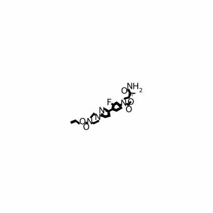 C=CCOC(=O)N1CCN(c2ccc(-c3ccc(N4CC([C@H](C)C(N)=O)OC4=O)cc3F)cn2)CC1